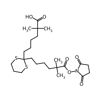 CC(C)(CCCCC1(CCCCC(C)(C)C(=O)ON2C(=O)CCC2=O)SCCCS1)C(=O)O